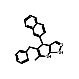 CC1=C(Cc2ccccc2)C(c2ccc3ccccc3c2)c2cn[nH]c2N1